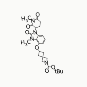 CN1C(=O)CCC(n2c(=O)n(C)c3c(OC4CC5(C4)CN(C(=O)OC(C)(C)C)C5)cccc32)C1=O